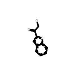 O=C(CCl)c1cc2ccccc2s1